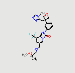 CO[C@H](C)CNCc1cc(C(F)(F)F)c2cn(-c3cccc(C4(Cc5nncn5C)COC4)c3)c(=O)n2c1